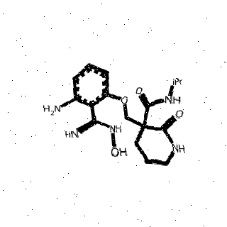 CC(C)NC(=O)C1(COc2cccc(N)c2C(=N)NO)CCCNC1=O